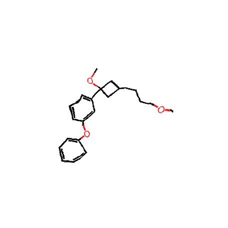 COCCCC1CC(OC)(c2cccc(Oc3ccccc3)c2)C1